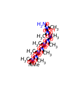 CNCC(=O)N(CC(=O)N(CC(=O)N(CC(=O)N(CC(=O)N(CC(=O)N(CC(=O)N(C)CC(=O)N(CC(=O)N(CC(N)=O)CC(C)O)CC(C)O)CC(C)O)CC(C)O)CC(C)O)CC(C)O)CC(C)O)CC(C)O